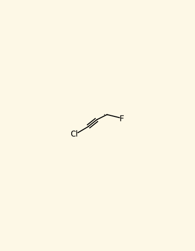 F[CH]C#CCl